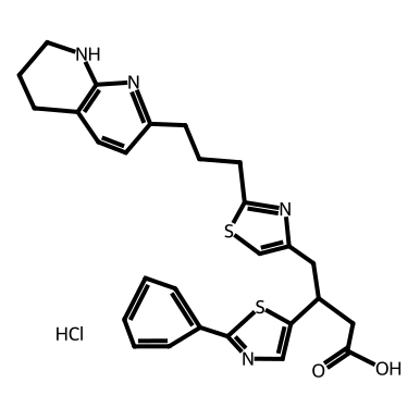 Cl.O=C(O)CC(Cc1csc(CCCc2ccc3c(n2)NCCC3)n1)c1cnc(-c2ccccc2)s1